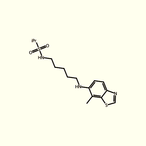 Cc1c(NCCCCCNS(=O)(=O)C(C)C)ccc2ncsc12